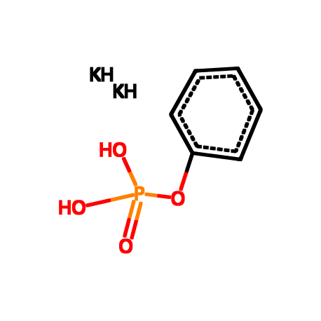 O=P(O)(O)Oc1ccccc1.[KH].[KH]